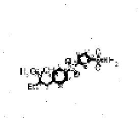 CCC(Cc1ccc(S(=O)(=O)c2ccc(S(N)(=O)=O)s2)cc1)N(C)C